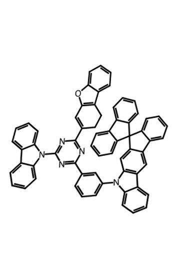 C1=C(c2nc(-c3cccc(-n4c5ccccc5c5cc6c(cc54)C4(c5ccccc5-c5ccccc54)c4ccccc4-6)c3)nc(-n3c4ccccc4c4ccccc43)n2)CCc2c1oc1ccccc21